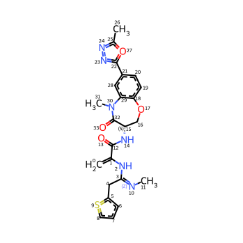 C=C(N/C(Cc1cccs1)=N\C)C(=O)N[C@H]1COc2ccc(-c3nnc(C)o3)cc2N(C)C1=O